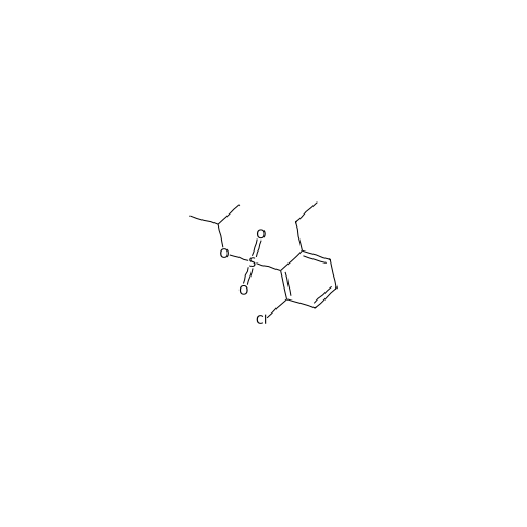 CCc1cccc(Cl)c1S(=O)(=O)OC(C)C